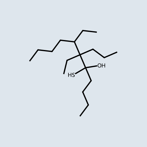 CCCCC(CC)C(CC)(CCC)C(O)(S)CCCC